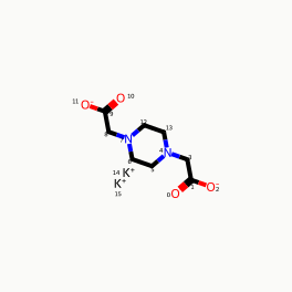 O=C([O-])CN1CCN(CC(=O)[O-])CC1.[K+].[K+]